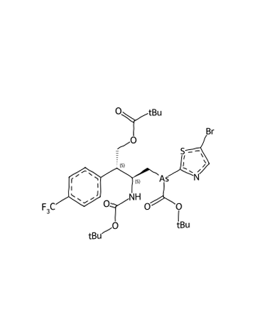 CC(C)(C)OC(=O)N[C@H](C[As](C(=O)OC(C)(C)C)c1ncc(Br)s1)[C@@H](COC(=O)C(C)(C)C)c1ccc(C(F)(F)F)cc1